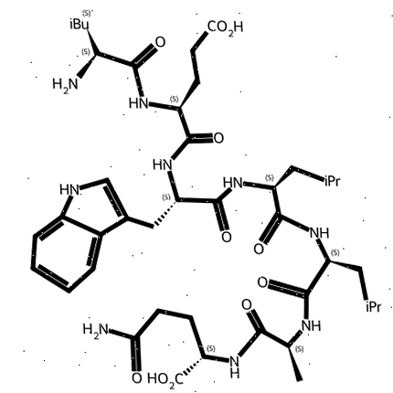 CC[C@H](C)[C@H](N)C(=O)N[C@@H](CCC(=O)O)C(=O)N[C@@H](Cc1c[nH]c2ccccc12)C(=O)N[C@@H](CC(C)C)C(=O)N[C@@H](CC(C)C)C(=O)N[C@@H](C)C(=O)N[C@@H](CCC(N)=O)C(=O)O